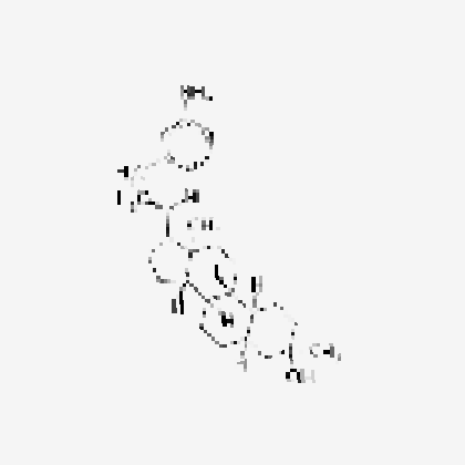 Cc1cc(N)ccc1N[C@H](C)[C@H]1CC[C@H]2[C@@H]3CC[C@@H]4C[C@](C)(O)CC[C@@H]4[C@H]3CC[C@]12C